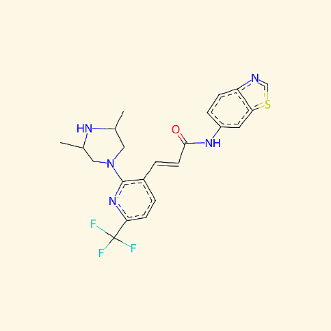 CC1CN(c2nc(C(F)(F)F)ccc2/C=C/C(=O)Nc2ccc3ncsc3c2)CC(C)N1